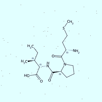 CC[C@H](C)[C@H](NC(=O)[C@@H]1CCCN1C(=O)[C@@H](N)CCSC)C(=O)O